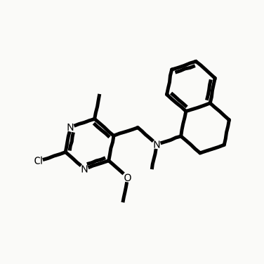 COc1nc(Cl)nc(C)c1CN(C)C1CCCc2ccccc21